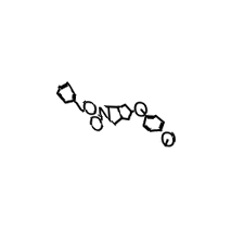 COc1ccc(OC2CC3CN(C(=O)OCc4ccccc4)CC3C2)cc1